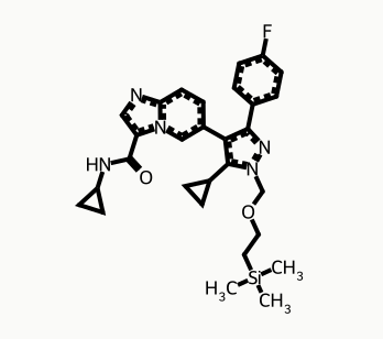 C[Si](C)(C)CCOCn1nc(-c2ccc(F)cc2)c(-c2ccc3ncc(C(=O)NC4CC4)n3c2)c1C1CC1